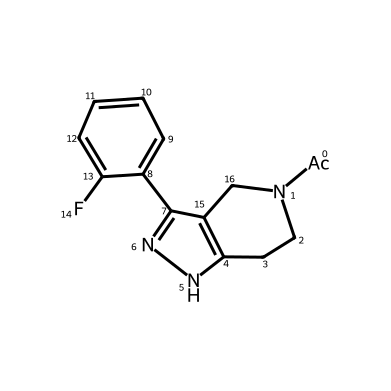 CC(=O)N1CCc2[nH]nc(-c3ccccc3F)c2C1